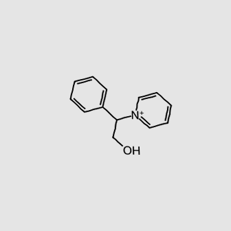 OCC(c1ccccc1)[n+]1ccccc1